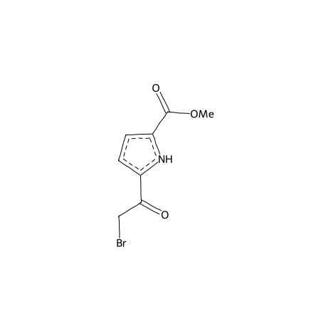 COC(=O)c1ccc(C(=O)CBr)[nH]1